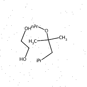 CCCOC(C)(C)CC(C)C.OCCO